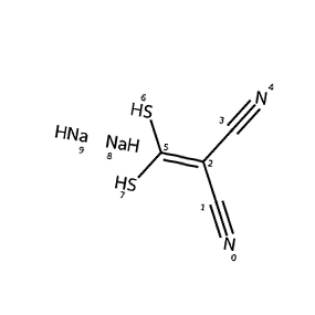 N#CC(C#N)=C(S)S.[NaH].[NaH]